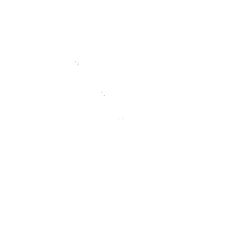 C1=C(Cc2cccnc2)NCC(OCc2ccccc2)=C1